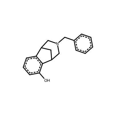 Oc1cccc2c1C1CC2CN(Cc2ccccc2)C1